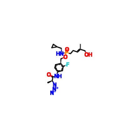 C/C(=C\CCP(=O)(NCC1CC1)OCc1ccc(NC(=O)[C@H](C)N=[N+]=[N-])cc1F)CO